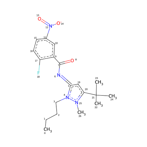 CCCCn1/c(=N/C(=O)c2cc([N+](=O)[O-])ccc2F)cc(C(C)(C)C)n1C